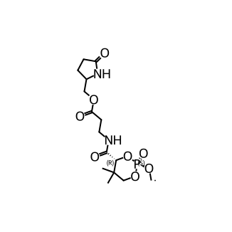 [CH2]O[P@@]1(=O)OCC(C)(C)[C@H](C(=O)NCCC(=O)OCC2CCC(=O)N2)O1